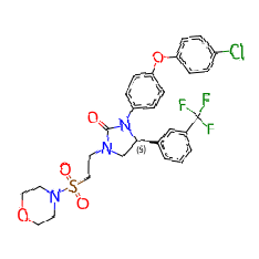 O=C1N(CCS(=O)(=O)N2CCOCC2)C[C@H](c2cccc(C(F)(F)F)c2)N1c1ccc(Oc2ccc(Cl)cc2)cc1